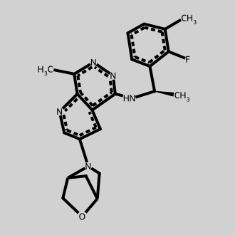 Cc1cccc([C@@H](C)Nc2nnc(C)c3ncc(N4CC5CC4CO5)cc23)c1F